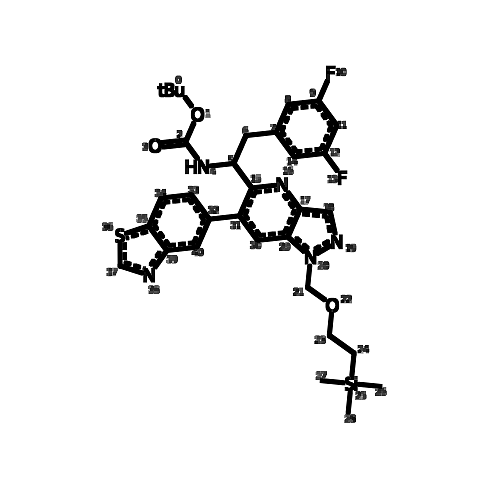 CC(C)(C)OC(=O)NC(Cc1cc(F)cc(F)c1)c1nc2cnn(COCC[Si](C)(C)C)c2cc1-c1ccc2scnc2c1